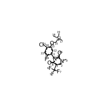 Cn1cc(C(F)(F)F)c(=O)n(-c2cc(OC[Si](C)(C)C)c(Cl)cc2F)c1=O